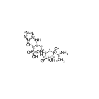 CC(N)P(=O)(O)CC(NCC(CS(=O)(=O)O)Nc1nnnn1C)C(=O)O